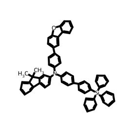 CC1(C)c2ccccc2-c2ccc(N(c3ccc(-c4ccc([Si](c5ccccc5)(c5ccccc5)c5ccccc5)cc4)cc3)c3ccc(-c4ccc5oc6ccccc6c5c4)cc3)cc21